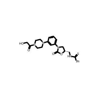 CC(C)C(=S)NC[C@H]1CN(c2cccc(N3CCN(C(=O)CO)CC3)c2)C(=O)O1